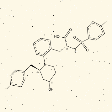 Cc1ccc(S(=O)(=O)N[C@H](Cc2ccccc2N2CC[C@H](O)C[C@H]2Cc2ccc(F)cc2)C(=O)O)cc1